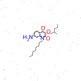 CCCCCCCCn1c(=O)c(OCC(C)CCC)c(OC)c2ccc(N)cc21